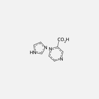 O=C(O)c1cnccn1.c1c[nH]cn1